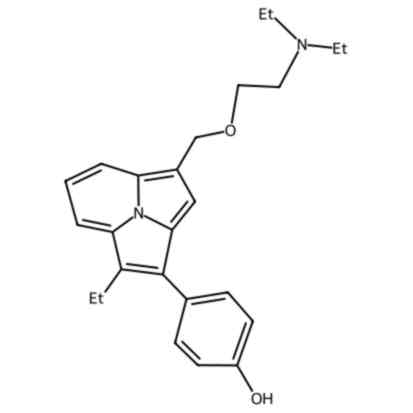 CCc1c(-c2ccc(O)cc2)c2cc(COCCN(CC)CC)c3cccc1n32